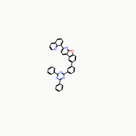 c1ccc(-c2nc(-c3ccccc3)nc(-c3cccc(-c4ccc5oc6nc(-c7cccc8cccnc78)ccc6c5c4)c3)n2)cc1